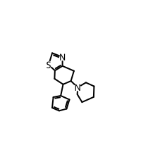 c1ccc(C2Cc3scnc3CC2N2CCCCC2)cc1